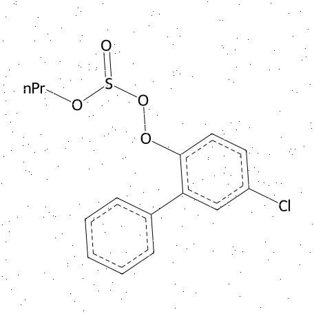 CCCOS(=O)OOc1ccc(Cl)cc1-c1ccccc1